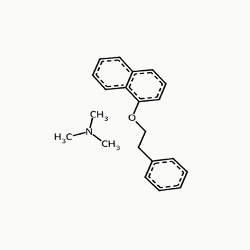 CN(C)C.c1ccc(CCOc2cccc3ccccc23)cc1